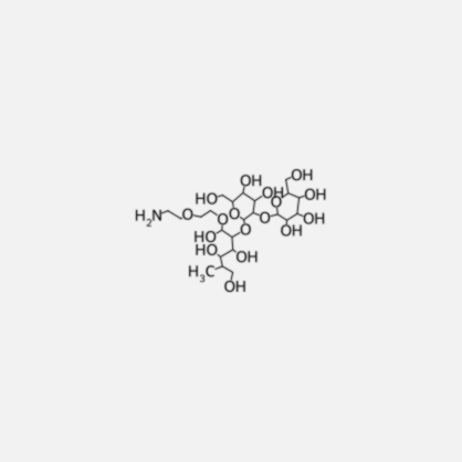 CC(CO)C(O)C(O)C(OC1OC(CO)C(O)C(O)C1OC1OC(CO)C(O)C(O)C1O)C(O)OCCOCCN